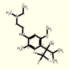 CCN(C)CCNc1cc(OC)c(C(O)(C(C)C)C(F)(F)F)cc1C